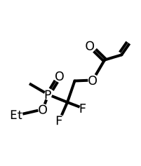 C=CC(=O)OCC(F)(F)P(C)(=O)OCC